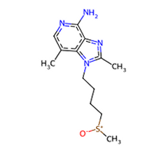 Cc1cnc(N)c2nc(C)n(CCCC[S+](C)[O-])c12